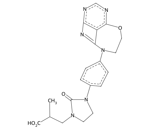 CC(CN1CCN(c2ccc(N3CCOc4ncnc5c4C3=N5)cc2)C1=O)C(=O)O